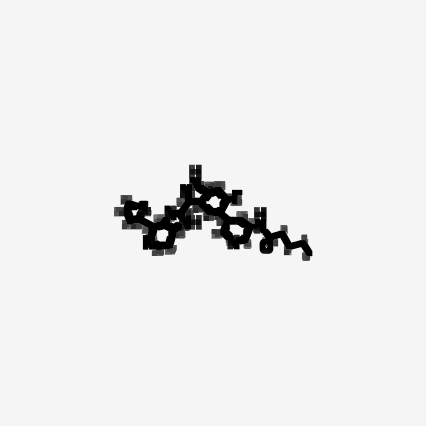 CCCCC(=O)Nc1cncc(-c2cc3c(-c4nc5c(-c6cccs6)nccc5[nH]4)n[nH]c3cc2F)c1